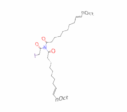 CCCCCCCCC=CCCCCCCCC(=O)N(C(=O)CI)C(=O)CCCCCCCC=CCCCCCCCC